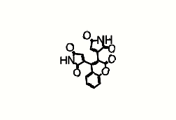 O=C1C=C(c2c(C3=CC(=O)NC3=O)c3ccccc3oc2=O)C(=O)N1